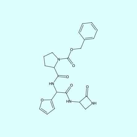 O=C1NCC1NC(=O)C(NC(=O)C1CCCN1C(=O)OCc1ccccc1)c1ccco1